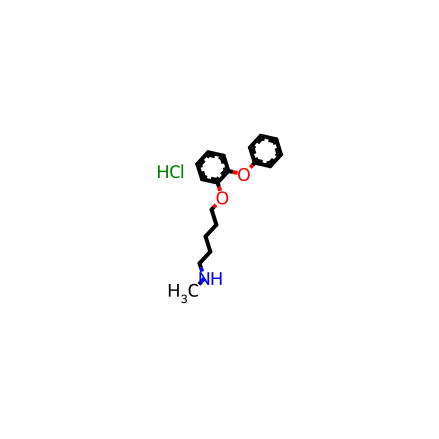 CNCCCCCOc1ccccc1Oc1ccccc1.Cl